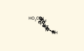 O=C(O)c1ccc2nc(Cc3cc(F)c(-c4cccc(OCc5ncc(C#Cc6cn[nH]c6)cc5F)n4)cc3F)n(C[C@@H]3CCO3)c2c1